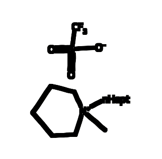 CCCCCCC[N+]1(C)CCCCC1.O=S(=O)([O-])C(F)(F)F